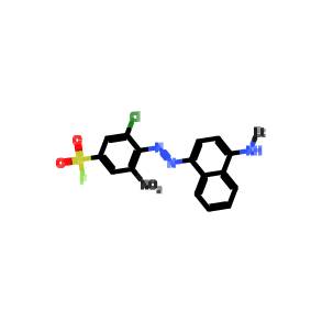 CCNc1ccc(N=Nc2c(Cl)cc(S(=O)(=O)F)cc2[N+](=O)[O-])c2ccccc12